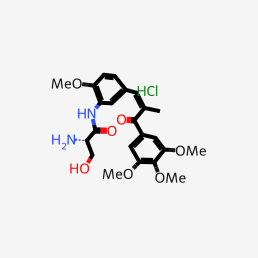 COc1ccc(C=C(C)C(=O)c2cc(OC)c(OC)c(OC)c2)cc1NC(=O)[C@@H](N)CO.Cl